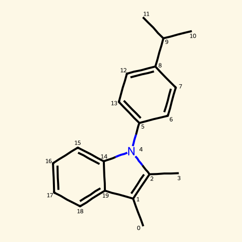 Cc1c(C)n(-c2ccc(C(C)C)cc2)c2ccccc12